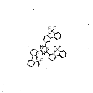 FC(F)(F)c1ccccc1-c1cccc(-c2nc(-c3cccc(-c4ccccc4C(F)(F)F)c3)nc(-c3cccc(-c4ccccc4C(F)(F)F)c3)n2)c1